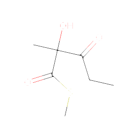 CCC(=O)C(C)(O)C(=O)SC